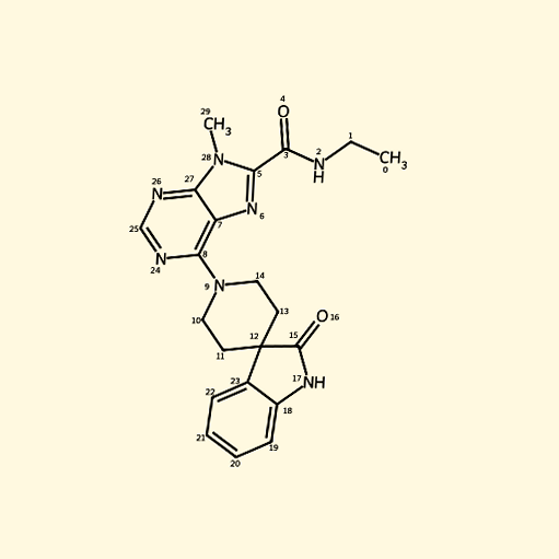 CCNC(=O)c1nc2c(N3CCC4(CC3)C(=O)Nc3ccccc34)ncnc2n1C